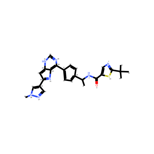 CC(NC(=O)c1cnc(C(C)(C)C)s1)c1ccc(-c2nc[nH]c3cc(-c4cnn(C)c4)nc2-3)cc1